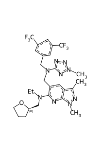 CCN(C[C@H]1CCCO1)c1nc2c(cc1CN(Cc1cc(C(F)(F)F)cc(C(F)(F)F)c1)c1nnn(C)n1)c(C)nn2C